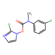 CN(C(=O)On1ccnc1Cl)c1cccc(F)c1